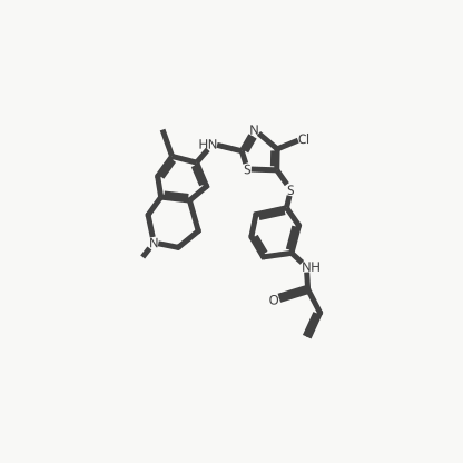 C=CC(=O)Nc1cccc(Sc2sc(Nc3cc4c(cc3C)CN(C)CC4)nc2Cl)c1